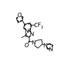 Cc1c(C(=O)N2CCC(n3ccnc3)CC2)nc2c(C(F)(F)F)cc(-c3ccoc3)cn12